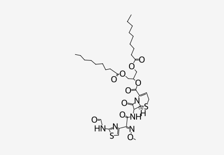 CCCCCCCCC(=O)OCC(COC(=O)CCCCCCCC)OC(=O)C1=CCS[C@H]2C(NC(=O)C(=NOC)c3csc(NC=O)n3)C(=O)N12